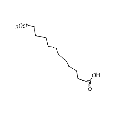 CCCCCCCCCCCCCCCCCC[Si](=O)O